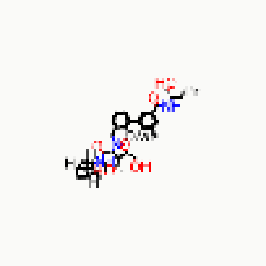 COc1c(CN2O[C@@H](CO)[C@@H]([C@H](C)O)[C@H]2C(=O)N[C@H]2C[C@H]3C[C@@H]([C@@H]2C)C3(C)C)cccc1-c1cc(C)cc(C(=O)N[C@H](CO)CC(C)C)c1